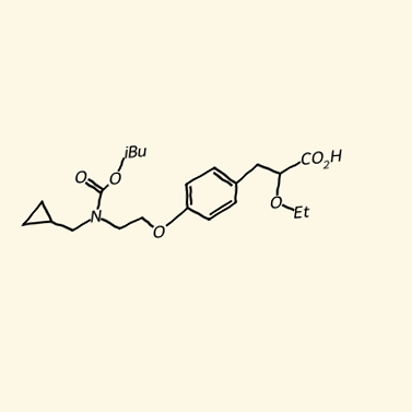 CCOC(Cc1ccc(OCCN(CC2CC2)C(=O)OC(C)CC)cc1)C(=O)O